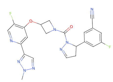 Cn1ncc(-c2cc(OC3CN(C(=O)N4N=CCC4c4cc(F)cc(C#N)c4)C3)c(F)cn2)n1